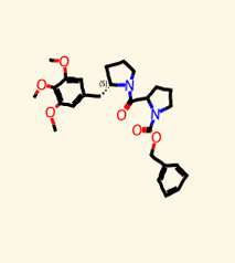 COc1cc(C[C@@H]2CCCN2C(=O)C2CCCN2C(=O)OCc2ccccc2)cc(OC)c1OC